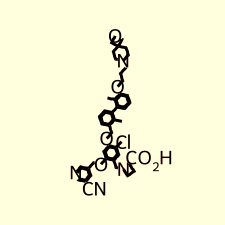 Cc1c(COc2cc(OCc3cncc(C#N)c3)c(CN3CC[C@H]3C(=O)O)cc2Cl)cccc1-c1cccc(OCCCN2CCC3(CC2)COC3)c1C